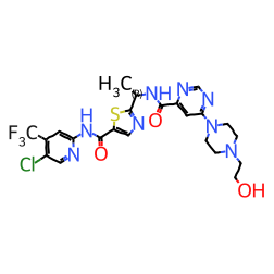 C[C@@H](NC(=O)c1cc(N2CCN(CCO)CC2)ncn1)c1ncc(C(=O)Nc2cc(C(F)(F)F)c(Cl)cn2)s1